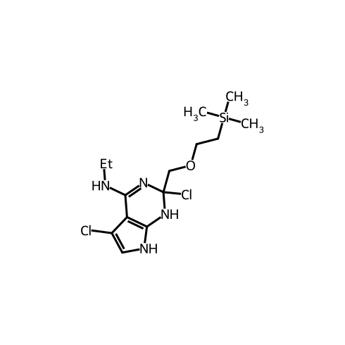 CCNC1=NC(Cl)(COCC[Si](C)(C)C)Nc2[nH]cc(Cl)c21